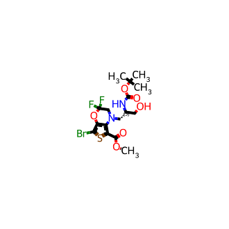 COC(=O)c1sc(Br)c2c1N(C[C@@H](CO)NC(=O)OC(C)(C)C)CC(F)(F)O2